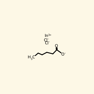 CCCCCC(=O)[O-].[Cl-].[Cl-].[In+3]